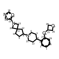 c1ccc(C2CCN(C3CCC4(C3)CN(c3nnco3)C4)CC2)c(OC2COC2)c1